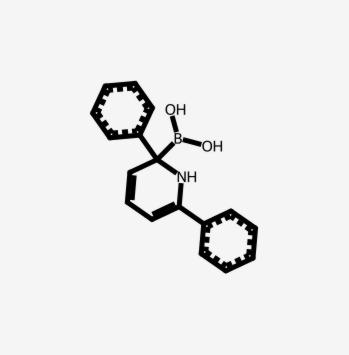 OB(O)C1(c2ccccc2)C=CC=C(c2ccccc2)N1